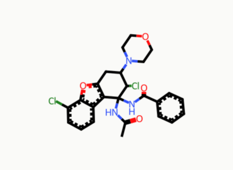 CC(=O)NC1(NC(=O)c2ccccc2)c2c(oc3c(Cl)cccc23)CC(N2CCOCC2)C1Cl